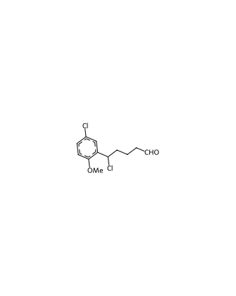 COc1ccc(Cl)cc1C(Cl)CCCC=O